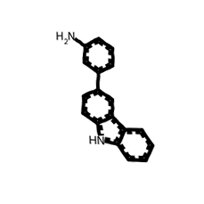 Nc1cccc(-c2ccc3[nH]c4ccccc4c3c2)c1